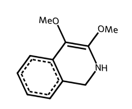 COC1=C(OC)c2ccccc2CN1